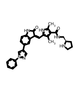 Cc1[nH]c(/C=C2\C(=O)Nc3ccc(-c4cnn(-c5ccccc5)c4)cc32)c(C)c1C(=O)NC[C@H]1CCCN1